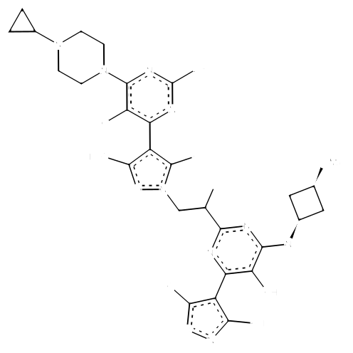 CO[C@H]1C[C@@H](Nc2nc(C(C)C[n+]3oc(C)c(-c4nc(C(C)C)nc(N5CCN(C6CC6)CC5)c4C)c3C)nc(-c3c(C)noc3C)c2C)C1